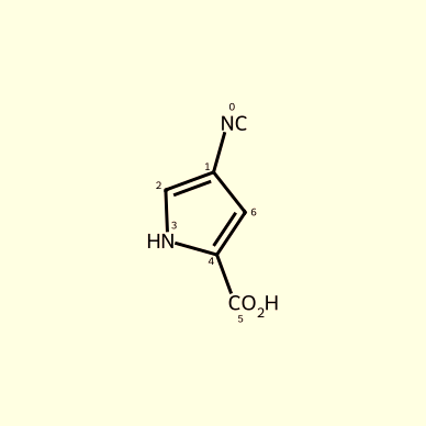 [C-]#[N+]c1c[nH]c(C(=O)O)c1